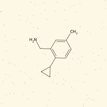 Cc1ccc(C2CC2)c(CN)c1